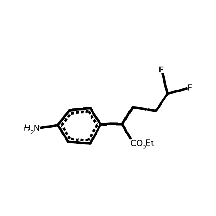 CCOC(=O)C(CCC(F)F)c1ccc(N)cc1